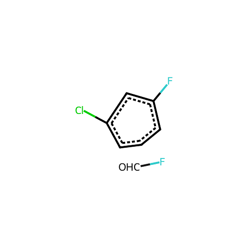 Fc1cccc(Cl)c1.O=CF